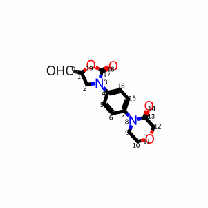 O=CC1CN(c2ccc(N3CCOCC3=O)cc2)C(=O)O1